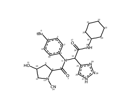 CC(C)(C)c1ccc(N(C(=O)C2CC(O)CN2C#N)C(C(=O)NC2CCCCC2)c2c[nH]nn2)cc1